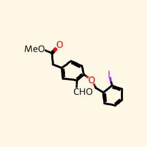 COC(=O)Cc1ccc(OCc2ccccc2I)c(C=O)c1